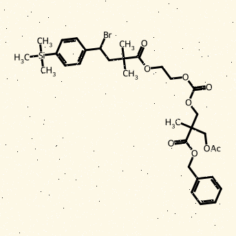 CC(=O)OCC(C)(COC(=O)OCCOC(=O)C(C)(C)CC(Br)c1ccc([Si](C)(C)C)cc1)C(=O)OCc1ccccc1